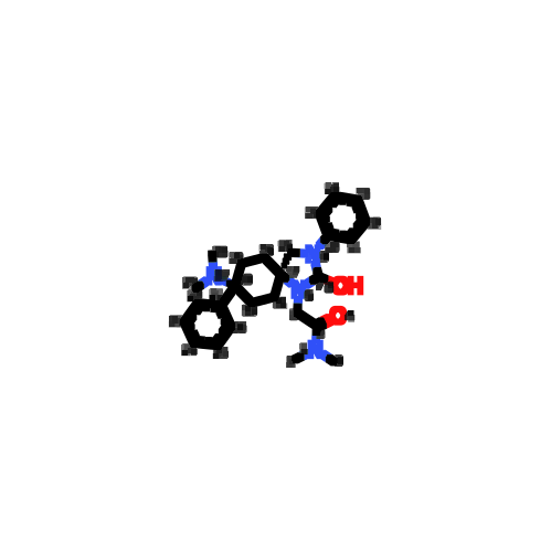 CN(C)C(=O)CN1C(O)N(c2ccccc2)C[C@]12CC[C@](c1ccccc1)(N(C)C)CC2